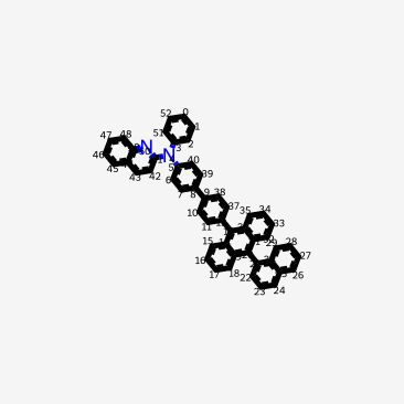 c1ccc(N(c2ccc(-c3ccc(-c4c5ccccc5c(-c5cccc6ccccc56)c5ccccc45)cc3)cc2)c2ccc3ccccc3n2)cc1